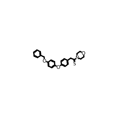 S=C(Cc1ccc(Oc2ccc(OCc3ccccc3)cc2)cc1)N1CCOCC1